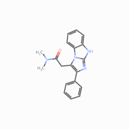 CN(C)C(=O)Cc1c(-c2ccccc2)nc2[nH]c3ccccc3n12